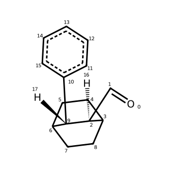 O=C[C@H]1C2CCC(CC2)[C@@H]1c1ccccc1